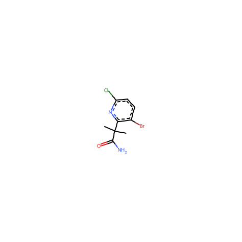 CC(C)(C(N)=O)c1nc(Cl)ccc1Br